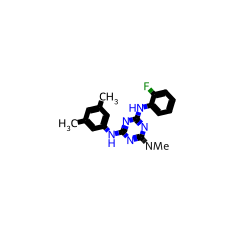 CNc1nc(Nc2cc(C)cc(C)c2)nc(Nc2ccccc2F)n1